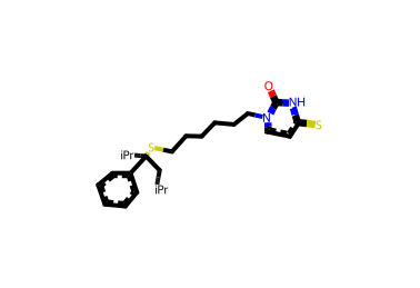 CC(C)CC(SCCCCCCn1ccc(=S)[nH]c1=O)(c1ccccc1)C(C)C